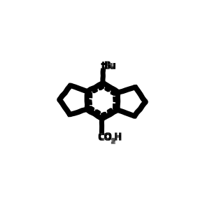 CC(C)(C)c1c2c(c(C(=O)O)c3c1CCC3)CCC2